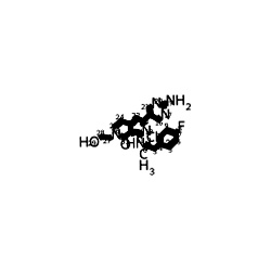 CC(C)(Cc1ccc(F)cc1)Nc1nc(-c2cnc(N)nc2)cc2ccn(CCO)c(=O)c12